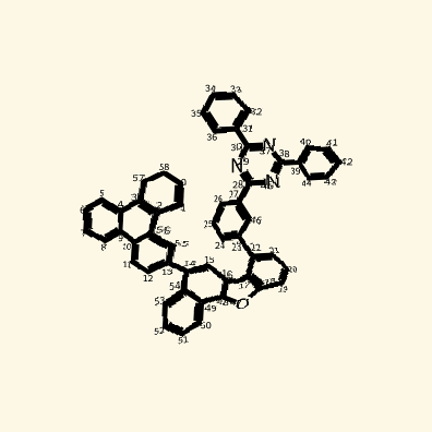 C1=Cc2c(c3ccccc3c3ccc(C4=CC5c6c(cccc6-c6cccc(-c7nc(-c8ccccc8)nc(-c8ccccc8)n7)c6)OC5c5ccccc54)cc23)CC1